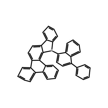 c1ccc(-c2ccc(-n3c4ccccc4c4ccc5c6ccccc6c6ccccc6c5c43)c3ccccc23)cc1